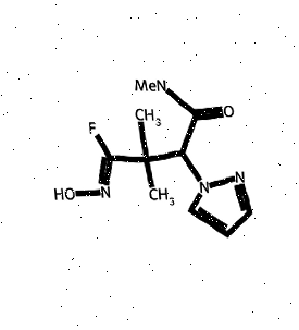 CNC(=O)C(n1cccn1)C(C)(C)C(F)=NO